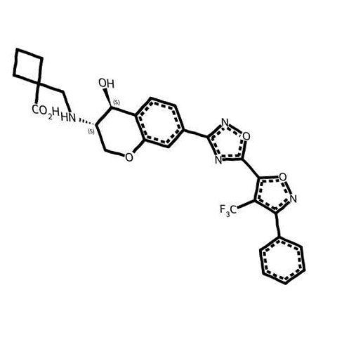 O=C(O)C1(CN[C@H]2COc3cc(-c4noc(-c5onc(-c6ccccc6)c5C(F)(F)F)n4)ccc3[C@@H]2O)CCC1